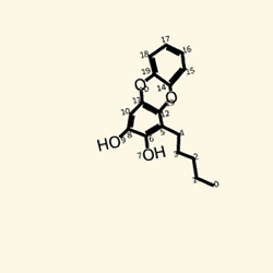 CCCCCc1c(O)c(O)cc2c1Oc1ccccc1O2